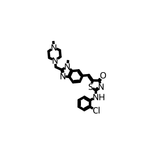 CN1CCN(Cc2nc3ccc(/C=C4\SC(Nc5ccccc5Cl)=NC4=O)cc3n2C)CC1